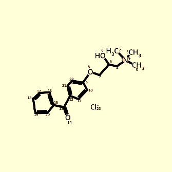 C[N+](C)(C)CC(O)COc1ccc(C(=O)c2ccccc2)cc1.[Cl-]